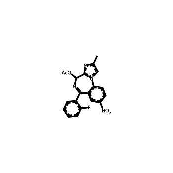 CC(=O)OC1N=C(c2ccccc2F)c2cc([N+](=O)[O-])ccc2-n2cc(C)nc21